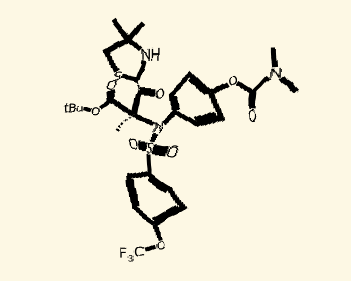 CN(C)C(=O)Oc1ccc(N([C@@](C)(C(=O)OC(C)(C)C)C(=O)[C@H]2NC(C)(C)CS2)S(=O)(=O)c2ccc(OC(F)(F)F)cc2)cc1